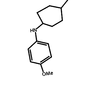 COc1ccc(NC2CCC(C)CC2)cc1